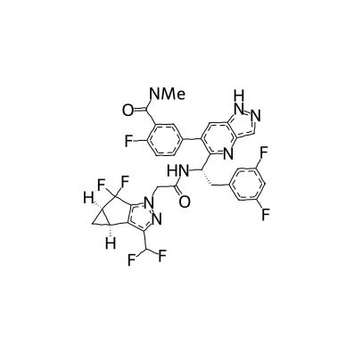 CNC(=O)c1cc(-c2cc3[nH]ncc3nc2[C@H](Cc2cc(F)cc(F)c2)NC(=O)Cn2nc(C(F)F)c3c2C(F)(F)[C@@H]2C[C@H]32)ccc1F